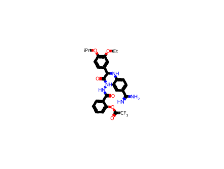 CCOc1cc(C(Nc2ccc(C(=N)N)cc2)C(=O)NNC(=O)c2ccccc2OC(=O)C(F)(F)F)ccc1OC(C)C